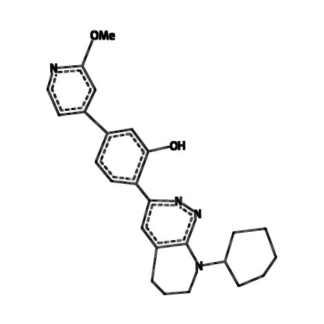 COc1cc(-c2ccc(-c3cc4c(nn3)N(C3CCCCC3)CCC4)c(O)c2)ccn1